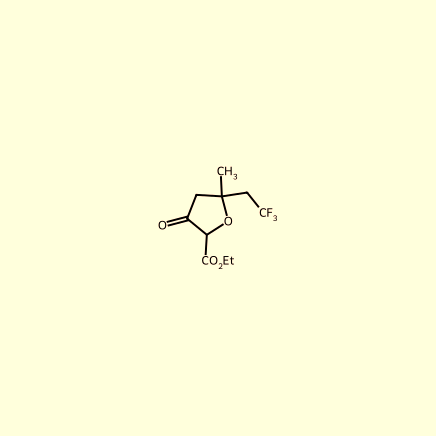 CCOC(=O)C1OC(C)(CC(F)(F)F)CC1=O